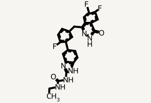 CCNC(=O)Nc1nc2cc(-c3cc(Cc4n[nH]c(=O)c5cc(F)c(F)cc45)ccc3F)ccc2[nH]1